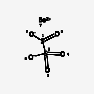 O=S([O-])S(=O)(=O)[O-].[Be+2]